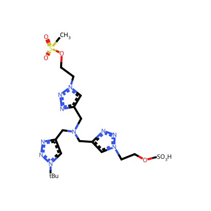 CC(C)(C)n1cc(CN(Cc2cn(CCOS(C)(=O)=O)nn2)Cc2cn(CCOS(=O)(=O)O)nn2)nn1